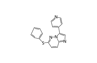 c1ccc(Sc2ccc3ncc(-c4ccncc4)n3n2)cc1